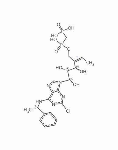 C/C=C(/COP(=O)(O)CP(=O)(O)O)[C@@H](O)[C@@H](O)[C@@H](O)n1cnc2c(N[C@@H](C)c3ccccc3)nc(Cl)nc21